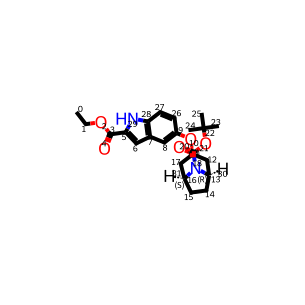 CCOC(=O)c1cc2cc(O[C@H]3C[C@H]4CC[C@@H](C3)N4C(=O)OC(C)(C)C)ccc2[nH]1